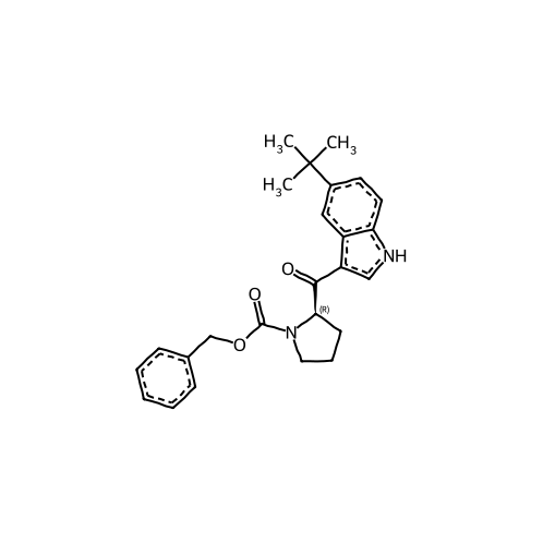 CC(C)(C)c1ccc2[nH]cc(C(=O)[C@H]3CCCN3C(=O)OCc3ccccc3)c2c1